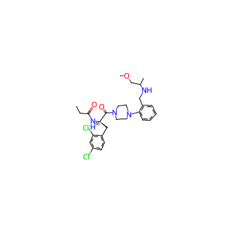 CCC(=O)N[C@H](Cc1ccc(Cl)cc1Cl)C(=O)N1CCN(c2ccccc2CNC(C)COC)CC1